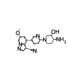 COc1cc(-c2ccc(N3CC[C@H](N)[C@H](O)C3)nc2)c2c(C#N)cnn2c1